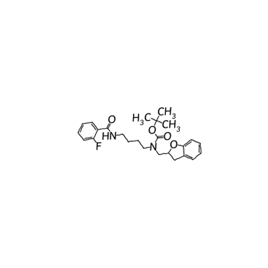 CC(C)(C)OC(=O)N(CCCCNC(=O)c1ccccc1F)CC1Cc2ccccc2O1